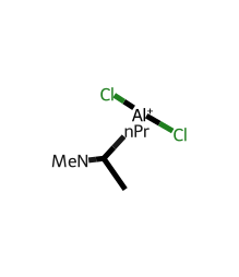 CCCC(C)[N-]C.[Cl][Al+][Cl]